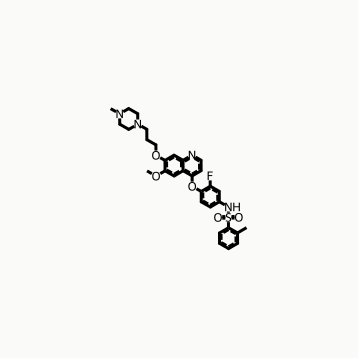 COc1cc2c(Oc3ccc(NS(=O)(=O)c4ccccc4C)cc3F)ccnc2cc1OCCCN1CCN(C)CC1